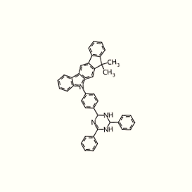 CC1(C)c2ccccc2-c2cc3c4ccccc4n(-c4ccc(C5N=C(c6ccccc6)NC(c6ccccc6)N5)cc4)c3cc21